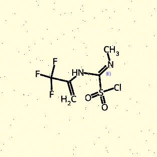 C=C(N/C(=N\C)S(=O)(=O)Cl)C(F)(F)F